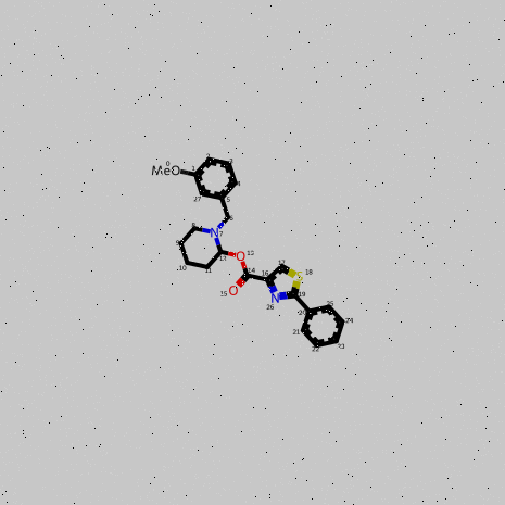 COc1cccc(CN2CCCCC2OC(=O)c2csc(-c3ccccc3)n2)c1